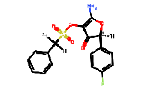 [2H]C([2H])(c1ccccc1)S(=O)(=O)OC1=C(N)O[C@@]([2H])(c2ccc(F)cc2)C1=O